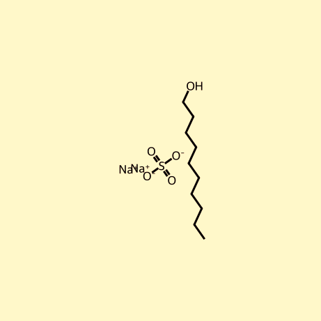 CCCCCCCCCCO.O=S(=O)([O-])[O-].[Na+].[Na+]